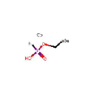 CCCCCOP(=O)(O)CC.[Co]